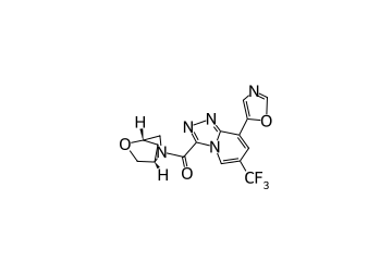 O=C(c1nnc2c(-c3cnco3)cc(C(F)(F)F)cn12)N1C[C@@H]2C[C@H]1CO2